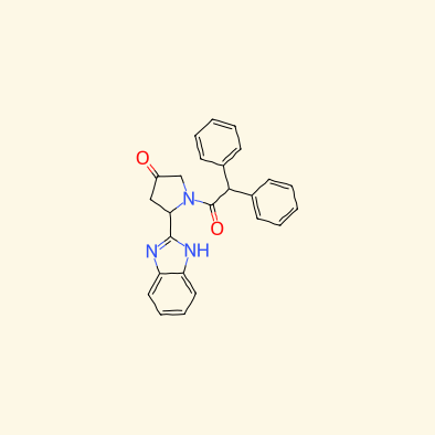 O=C1CC(c2nc3ccccc3[nH]2)N(C(=O)C(c2ccccc2)c2ccccc2)C1